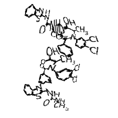 CC(C(=O)O)N(C(=O)c1ccccc1)c1ccc(Cl)c(Cl)c1.CC(C(=O)O)N(C(=O)c1ccccc1)c1ccc(Cl)c(Cl)c1.CNC(=O)Nc1nc2ccccc2s1.CNC(=O)Nc1nc2ccccc2s1